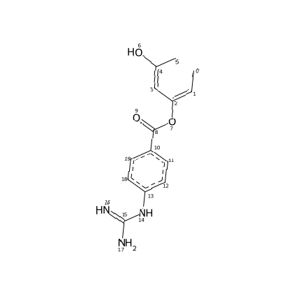 C/C=C(\C=C(/C)O)OC(=O)c1ccc(NC(=N)N)cc1